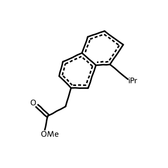 COC(=O)Cc1ccc2cccc(C(C)C)c2c1